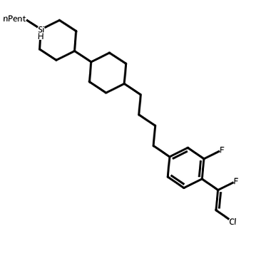 CCCCC[SiH]1CCC(C2CCC(CCCCc3ccc(C(F)=CCl)c(F)c3)CC2)CC1